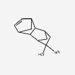 CCCC1(O)CC2CC1C1C3C=CC(C3)C21